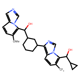 COc1ccc2cncn2c1C(O)C1CCCC(c2ncn3c(C(O)C4CC4)c(C(F)(F)F)ccc23)C1